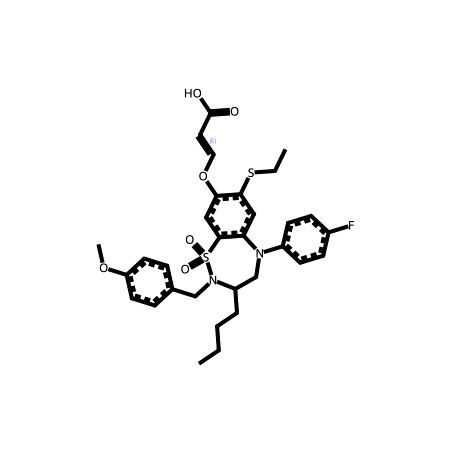 CCCCC1CN(c2ccc(F)cc2)c2cc(SCC)c(O/C=C/C(=O)O)cc2S(=O)(=O)N1Cc1ccc(OC)cc1